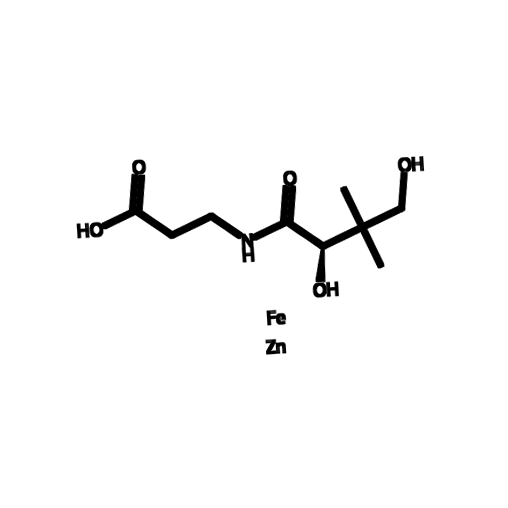 CC(C)(CO)[C@@H](O)C(=O)NCCC(=O)O.[Fe].[Zn]